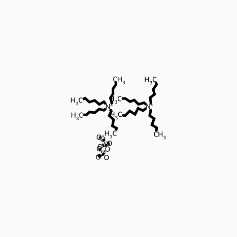 CCCCCC[N+](CCCCCC)(CCCCCC)CCCCCC.CCCCCC[N+](CCCCCC)(CCCCCC)CCCCCC.O=S(=O)([O-])OS(=O)(=O)O[O-]